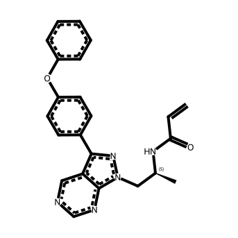 C=CC(=O)N[C@@H](C)Cn1nc(-c2ccc(Oc3ccccc3)cc2)c2cncnc21